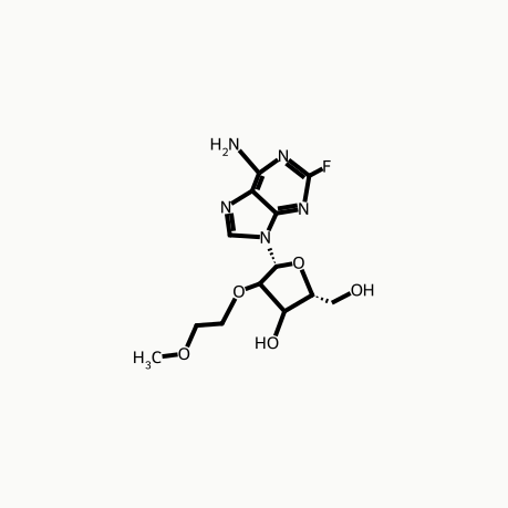 COCCOC1C(O)[C@@H](CO)O[C@H]1n1cnc2c(N)nc(F)nc21